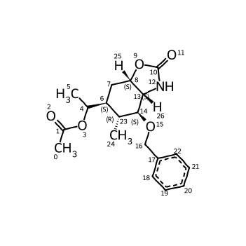 CC(=O)OC(C)[C@H]1C[C@@H]2OC(=O)N[C@@H]2[C@@H](OCc2ccccc2)[C@@H]1C